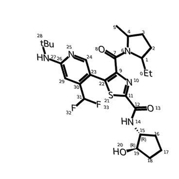 CCC1CCC(C)N1C(=O)c1nc(C(=O)N[C@@H]2CCC[C@H]2O)sc1-c1cnc(NC(C)(C)C)cc1C(F)F